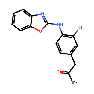 CC(C)C(=O)Cc1ccc(Nc2nc3ccccc3o2)c(Cl)c1